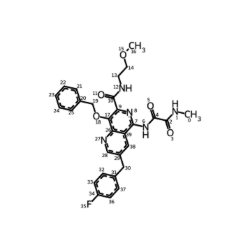 CNC(=O)C(=O)Nc1nc(C(=O)NCCOC)c(OCc2ccccc2)c2ncc(Cc3ccc(F)cc3)cc12